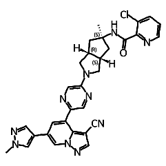 Cn1cc(-c2cc(-c3cnc(N4C[C@@H]5C[C@@](C)(NC(=O)c6ncccc6Cl)C[C@@H]5C4)cn3)c3c(C#N)cnn3c2)cn1